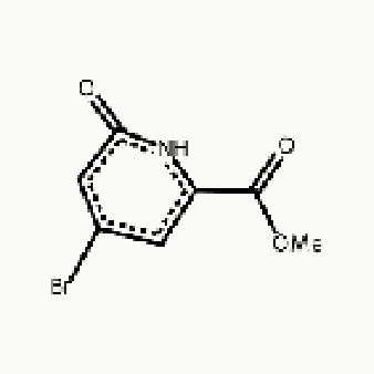 COC(=O)c1cc(Br)cc(=O)[nH]1